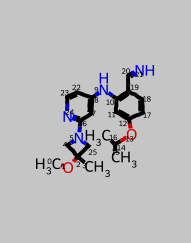 COC1(C)CN(c2cc(Nc3cc(OC(C)C)ccc3C=N)ccn2)C1